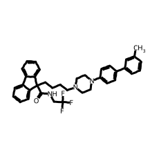 Cc1cccc(-c2ccc(N3CCN(CCCCC4(C(=O)NCC(F)(F)F)c5ccccc5-c5ccccc54)CC3)cc2)c1